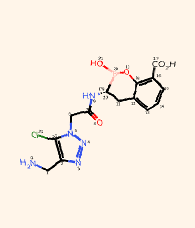 NCc1nnn(CC(=O)N[C@H]2Cc3cccc(C(=O)O)c3OB2O)c1Cl